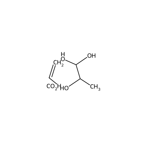 C=CC(=O)O.CC(O)C(O)O